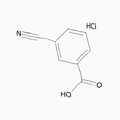 Cl.N#Cc1cccc(C(=O)O)c1